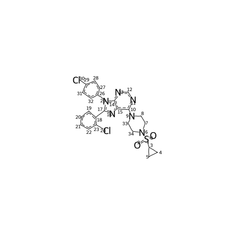 O=S(=O)(C1CC1)N1CCN(c2ncnc3c2nc(-c2ccccc2Cl)n3-c2ccc(Cl)cc2)CC1